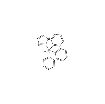 CP(c1ccccc1)(c1ccccc1)(c1ccccc1)c1ncc[nH]1